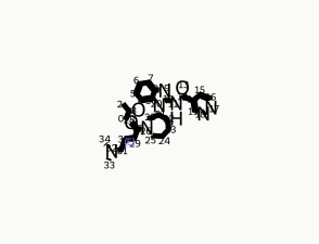 CC(C)Oc1cccc2nc(NC(=O)c3ccnnc3)n(C3CCCCN(C(=O)/C=C/CN(C)C)C3)c12